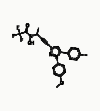 COc1ccc(-n2nc(C#CC(C)N(O)C(=O)C(F)(F)F)cc2-c2ccc(C)cc2)cc1